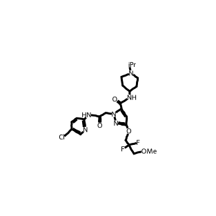 COCC(F)(F)COc1cc(C(=O)NC2CCN(C(C)C)CC2)n(CC(=O)Nc2ccc(Cl)cn2)n1